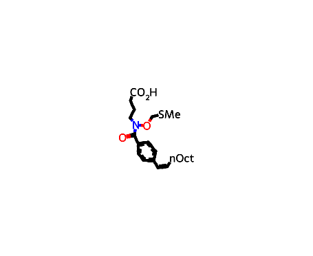 CCCCCCCC/C=C\c1ccc(C(=O)N(CCCC(=O)O)OCSC)cc1